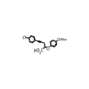 COc1ccc(OC(CC#Cc2ccc(Cl)cc2)C(=O)O)cc1